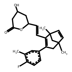 Cc1cc(C2=C(C=CC3CC(O)CC(=O)O3)C3(C)C=CC(C)(C2)C3)ccc1F